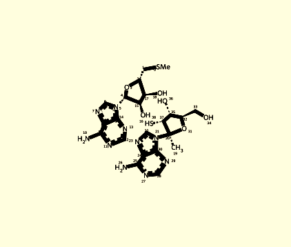 CSC[C@H]1O[C@@H](n2cnc3c(N)ncnc32)[C@H](O)[C@@H]1O.C[C@@]1(n2cnc3c(N)ncnc32)O[C@H](CO)[C@@H](O)[C@H]1S